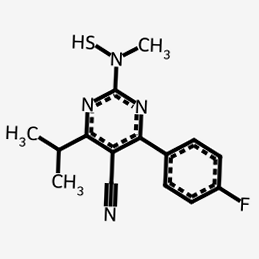 CC(C)c1nc(N(C)S)nc(-c2ccc(F)cc2)c1C#N